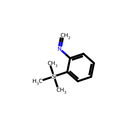 C=Nc1ccccc1[Si](C)(C)C